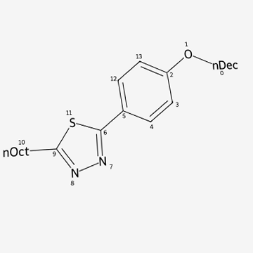 CCCCCCCCCCOc1ccc(-c2nnc(CCCCCCCC)s2)cc1